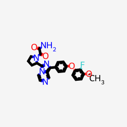 COc1cccc(Oc2ccc(-c3nc(C4CCCN4C(=O)C(N)=O)n4ccncc34)cc2)c1F